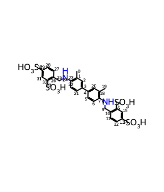 Cc1cc(-c2ccc(NCc3ccc(S(=O)(=O)O)cc3S(=O)(=O)O)c(C)c2)ccc1NCc1ccc(S(=O)(=O)O)cc1S(=O)(=O)O